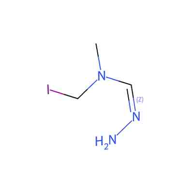 CN(/C=N\N)CI